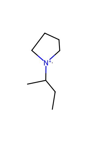 CCC(C)[N+]1CCCC1